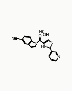 Cl.Cl.N#Cc1ccc2c(ccn2C(=O)C2=CSC(c3cccnc3)N2)c1